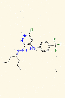 CCCC(CCC)=NNc1nnc(Cl)cc1Nc1ccc(C(F)(F)F)cc1